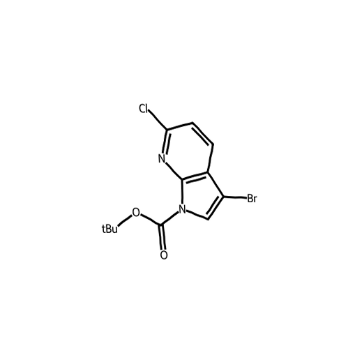 CC(C)(C)OC(=O)n1cc(Br)c2ccc(Cl)nc21